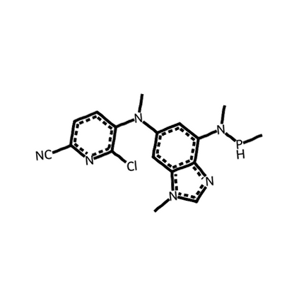 CPN(C)c1cc(N(C)c2ccc(C#N)nc2Cl)cc2c1ncn2C